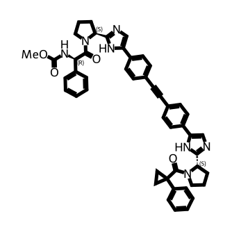 COC(=O)N[C@@H](C(=O)N1CCC[C@H]1c1ncc(-c2ccc(C#Cc3ccc(-c4cnc([C@@H]5CCCN5C(=O)C5(c6ccccc6)CC5)[nH]4)cc3)cc2)[nH]1)c1ccccc1